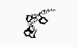 COCC(NC(=O)c1ccccc1NS(=O)(=O)c1cccc2cccnc12)c1ccccc1